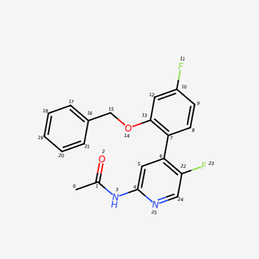 CC(=O)Nc1cc(-c2ccc(F)cc2OCc2ccccc2)c(F)cn1